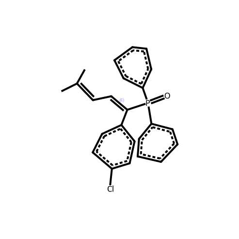 CC(C)=C/C=C(\c1ccc(Cl)cc1)P(=O)(c1ccccc1)c1ccccc1